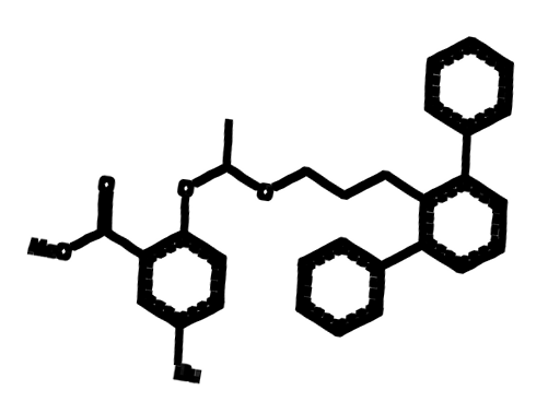 CCC(C)c1ccc(OC(C)OCCCc2c(-c3ccccc3)cccc2-c2ccccc2)c(C(=O)OC)c1